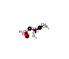 CCc1oc(-c2ccc(C(C)C)cc2)nc1COC1CCC[C@@H](COC(C)(Cc2ccccc2)C(=O)O)C1